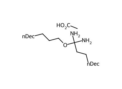 CC(=O)O.CCCCCCCCCCCCCOC(N)(N)CCCCCCCCCCCC